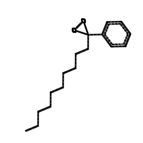 CCCCCCCCCCC1(c2ccccc2)OO1